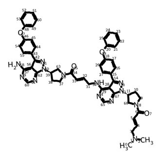 CN(C)C/C=C/C(=O)N1CC[C@@H](n2nc(-c3ccc(Oc4ccccc4)cc3)c3c(NC/C=C/C(=O)N4CC[C@@H](n5nc(-c6ccc(Oc7ccccc7)cc6)c6c(N)ncnc65)C4)ncnc32)C1